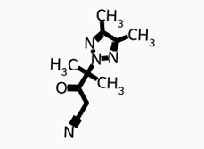 Cc1nn(C(C)(C)C(=O)CC#N)nc1C